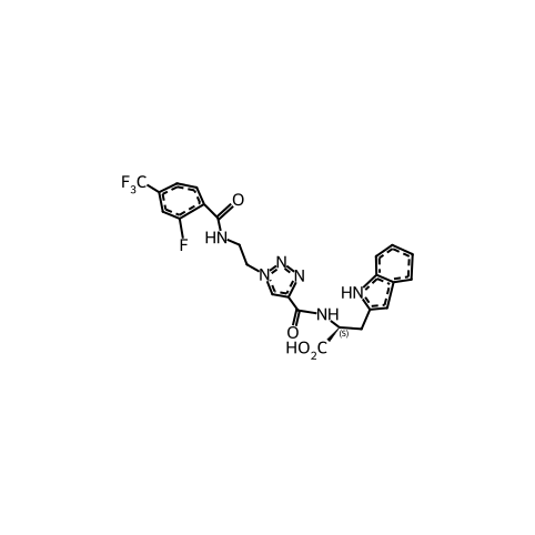 O=C(N[C@@H](Cc1cc2ccccc2[nH]1)C(=O)O)c1cn(CCNC(=O)c2ccc(C(F)(F)F)cc2F)nn1